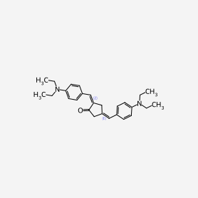 CCN(CC)c1ccc(/C=C2/C/C(=C\c3ccc(N(CC)CC)cc3)CC2=O)cc1